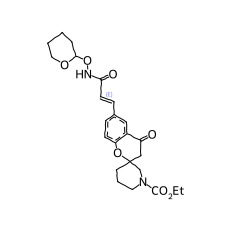 CCOC(=O)N1CCCC2(CC(=O)c3cc(/C=C/C(=O)NOC4CCCCO4)ccc3O2)C1